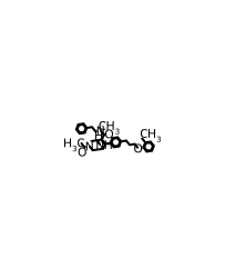 CCc1ccccc1OCCCc1ccc(C2=C(C(=O)N(C)CCc3ccccc3)[C@H]3CN(C(C)=O)CC(C2)N3)cc1